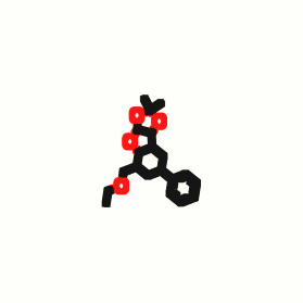 CCOCC1CC(c2ccccc2)CC2C1OC1OC(C)(C)OC12